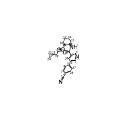 N#Cc1ccc(-c2cncc(C(=O)N[C@@H]3CCCC[C@H]3OOCC3CC3)c2)cc1